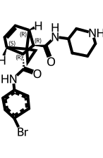 O=C(NC1CCCNC1)[C@H]1[C@H](C(=O)Nc2ccc(Br)cc2)[C@@H]2C=C[C@H]1C21CC1